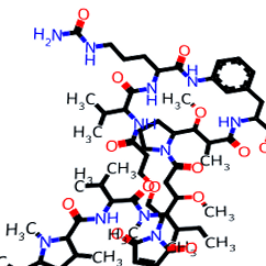 CCC(C)C(C(CC(=O)N1CCCC1C(OC)C(C)C(=O)NC(CO)Cc1cccc(NC(=O)C(CCCNC(N)=O)NC(=O)C(NC(=O)CCOCCN2C(=O)C=CC2=O)C(C)C)c1)OC)N(C)C(=O)C(NC(=O)C1C(C)CC(CC)N1C)C(C)C